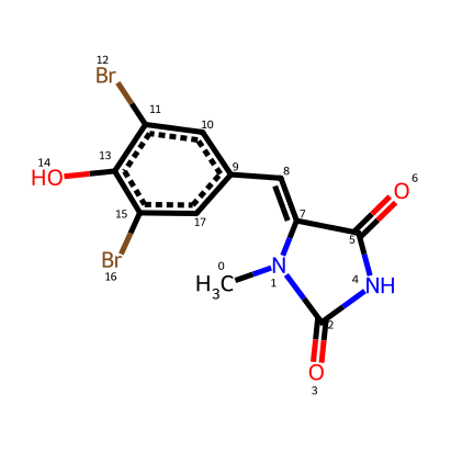 CN1C(=O)NC(=O)C1=Cc1cc(Br)c(O)c(Br)c1